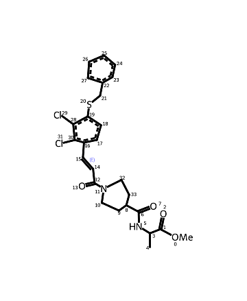 COC(=O)C(C)NC(=O)C1CCN(C(=O)/C=C/c2ccc(SCc3ccccc3)c(Cl)c2Cl)CC1